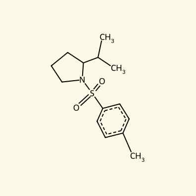 Cc1ccc(S(=O)(=O)N2CCCC2C(C)C)cc1